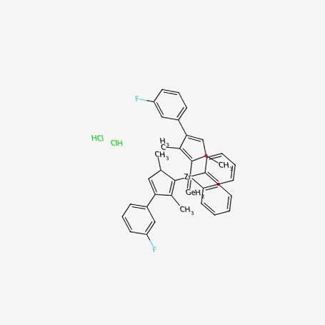 CC1=[C]([Zr](=[GeH2])([C]2=C(C)C(c3cccc(F)c3)=CC2C)([c]2ccccc2)[c]2ccccc2)C(C)C=C1c1cccc(F)c1.Cl.Cl